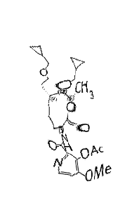 COc1ccnc(C(=O)N[C@H]2CCC[C@H](CCOCC3CC3)[C@@H](OCC3CC3)[C@H](C)OC2=O)c1OC(C)=O